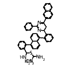 CNC(SC(N)N)c1ccccc1C1=CC=CC2C(c3ccccc3C3CC(c4ccc5ccccc5c4)=NC(c4ccccc4)=N3)=CC=CC12